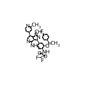 Cc1cc(-c2cnc(N)c3c(-c4ccc(NS(=O)(=O)C(F)F)c(O[C@@H](C)c5ccc(F)cc5)c4)nn(C)c23)ccn1